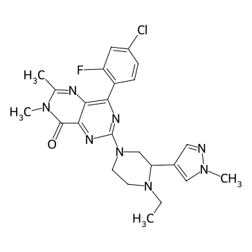 CCN1CCN(c2nc(-c3ccc(Cl)cc3F)c3nc(C)n(C)c(=O)c3n2)CC1c1cnn(C)c1